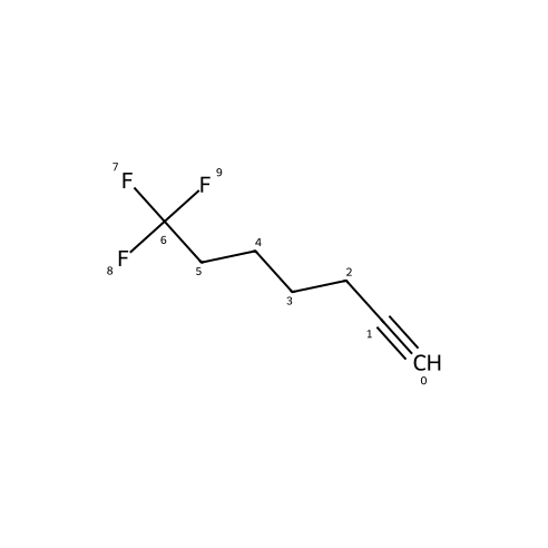 C#CCCCCC(F)(F)F